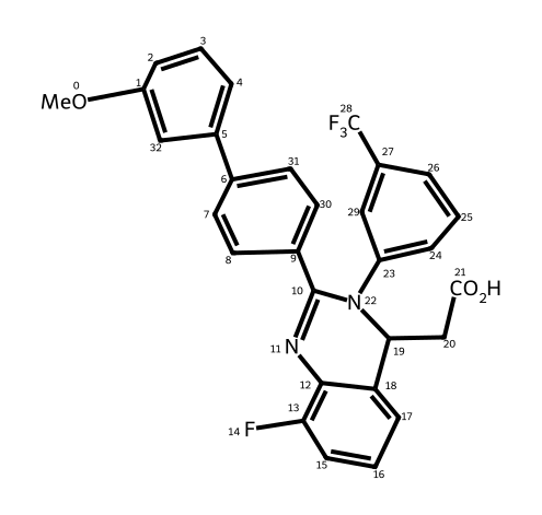 COc1cccc(-c2ccc(C3=Nc4c(F)cccc4C(CC(=O)O)N3c3cccc(C(F)(F)F)c3)cc2)c1